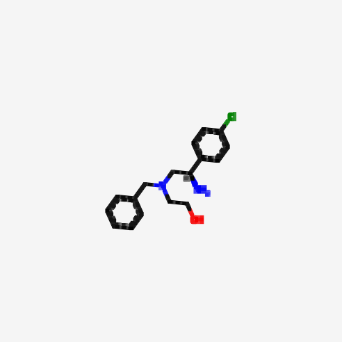 N[C@@H](CN(CCO)Cc1ccccc1)c1ccc(Cl)cc1